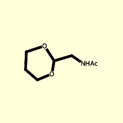 [CH2]C(=O)NCC1OCCCO1